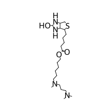 CN(C)CCCN(C)CCCCCCOC(=O)CCCCC1SCC2NC(O)NC21